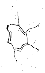 Cc1ccc(C)c(I)c1I